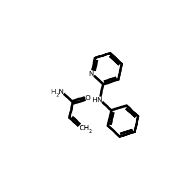 C=CC(N)=O.c1ccc(Nc2ccccn2)cc1